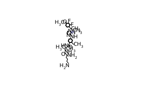 C=C(c1ccc(OC)c(F)c1F)n1ccnc(Nc2ccc(C(=O)NC(C)(C)CNC(=O)C(N)CCCCN)c(CC)c2)/c1=N/C